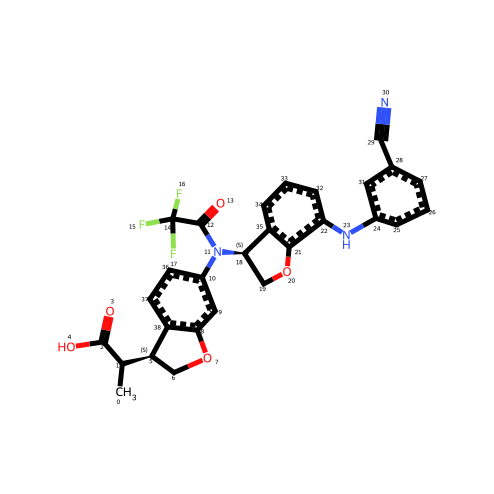 CC(C(=O)O)[C@@H]1COc2cc(N(C(=O)C(F)(F)F)[C@@H]3COc4c(Nc5cccc(C#N)c5)cccc43)ccc21